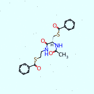 CC(=O)N[C@@H](CSC(=O)c1ccccc1)C(=O)NCCSC(=O)c1ccccc1